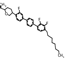 C=CC1CCC(c2ccc(-c3ccc(-c4ccc(CCCCCCCC)c(F)c4F)cc3)cc2F)CO1